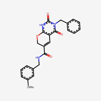 COc1cccc(CNC(=O)C2=Cc3c([nH]c(=O)n(Cc4ccccc4)c3=O)OC2)c1